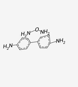 NON.Nc1ccc(-c2ccc(N)cc2)cc1